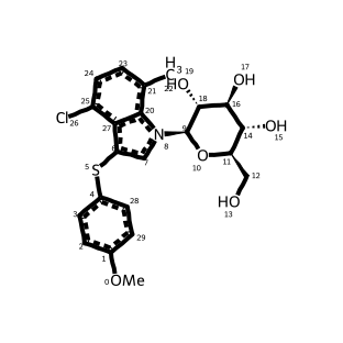 COc1ccc(Sc2cn([C@@H]3O[C@H](CO)[C@@H](O)[C@H](O)[C@H]3O)c3c(C)ccc(Cl)c23)cc1